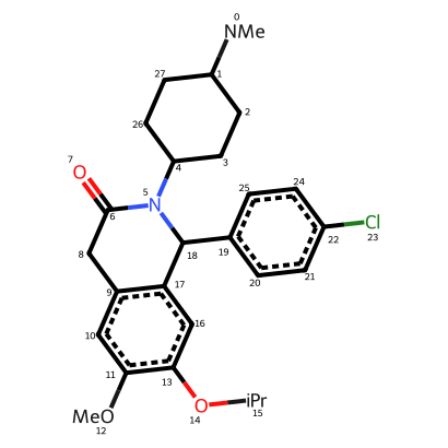 CNC1CCC(N2C(=O)Cc3cc(OC)c(OC(C)C)cc3C2c2ccc(Cl)cc2)CC1